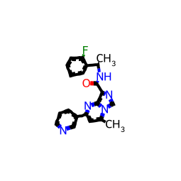 Cc1cc(-c2cccnc2)nc2c(C(=O)N[C@@H](C)c3ccccc3F)ncn12